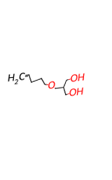 C=CCCCOCC(CO)CO